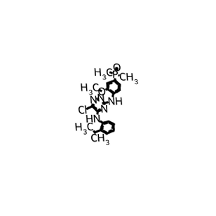 COc1cc(P(C)(C)=O)ccc1Nc1nnc(Cl)c(Nc2ccccc2C(C)C)n1